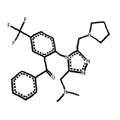 CN(C)Cc1nnc(CN2CCCC2)n1-c1ccc(C(F)(F)F)cc1C(=O)c1ccccc1